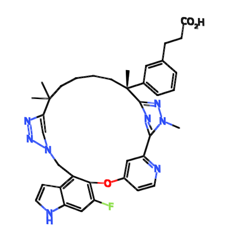 Cn1nc2nc1-c1cc(ccn1)Oc1c(F)cc3[nH]ccc3c1Cn1cc(nn1)C(C)(C)CCCC[C@]2(C)c1cccc(CCC(=O)O)c1